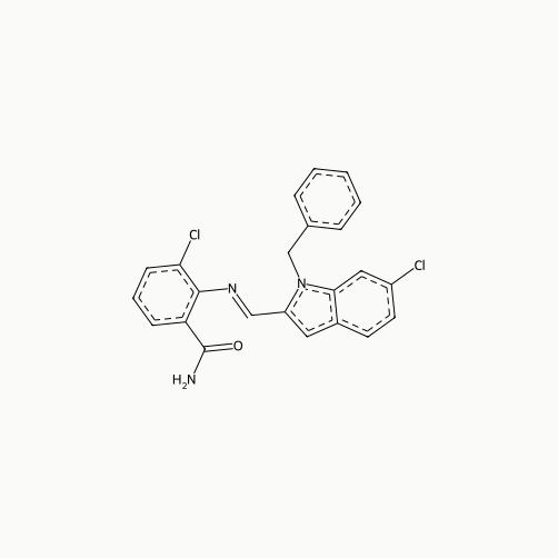 NC(=O)c1cccc(Cl)c1/N=C/c1cc2ccc(Cl)cc2n1Cc1ccccc1